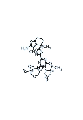 C[C@H](Oc1nc(-c2noc([C@@]3(C)CCCc4sc(N)c(C#N)c43)n2)nc(N2CCOC[C@@](O)(C3CC3)C2)n1)[C@@H]1C[C@@H](F)CN1C